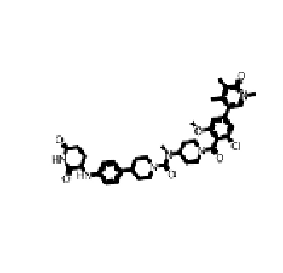 COc1cc(-c2cn(C)c(=O)c(C)c2C)cc(Cl)c1C(=O)N1CCC(N(C)C(=O)N2CCC(c3ccc(NC4CCC(=O)NC4=O)cc3)CC2)CC1